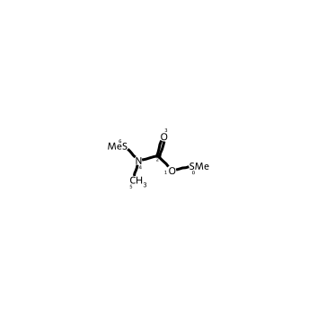 CSOC(=O)N(C)SC